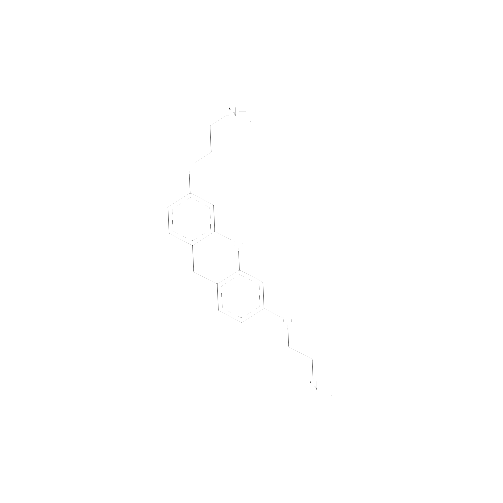 NCCOc1ccc2c(c1)Oc1cc(OCCN)ccc1C2